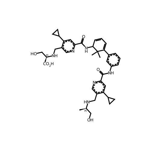 C[C@H](CO)NCc1cnc(C(=O)Nc2cccc(C3=CC=CC(NC(=O)c4cc(C5CC5)c(CN[C@H](CO)C(=O)O)cn4)C3(C)C)c2)cc1C1CC1